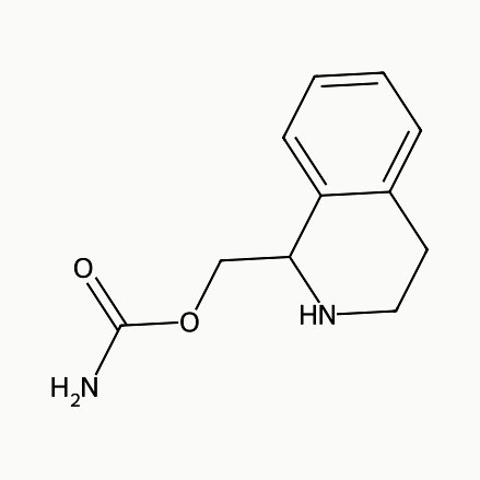 NC(=O)OCC1NCCc2ccccc21